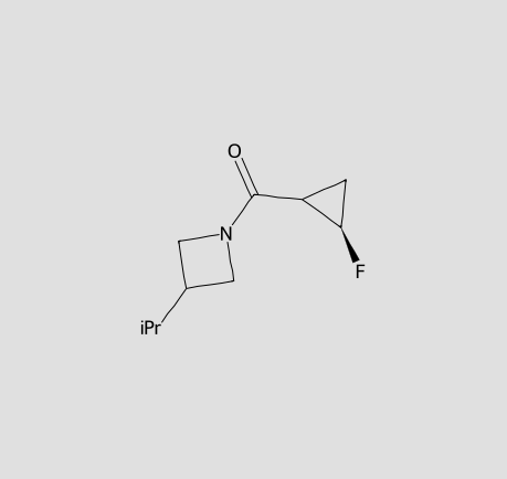 CC(C)C1CN(C(=O)C2C[C@H]2F)C1